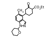 CCOC(=O)C1CCC(c2c(C)ccc3c2cnn3C2CCCCO2)CC1=O